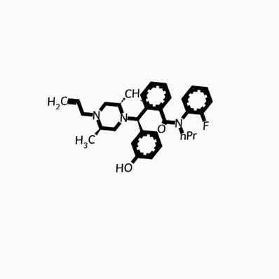 C=CCN1C[C@H](C)N([C@H](c2cccc(O)c2)c2ccccc2C(=O)N(CCC)c2ccccc2F)C[C@H]1C